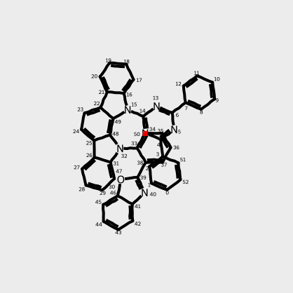 c1ccc(-c2nc(-c3ccccc3)nc(-n3c4ccccc4c4ccc5c6ccccc6n(-c6ccccc6-c6nc7ccccc7o6)c5c43)n2)cc1